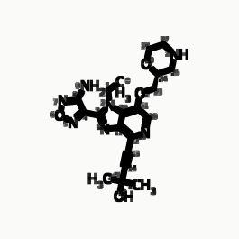 CCn1c(-c2nonc2N)nc2c(C#CC(C)(C)O)ncc(OC[C@@H]3CNCCO3)c21